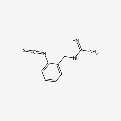 N=C(N)NCc1ccccc1N=C=S